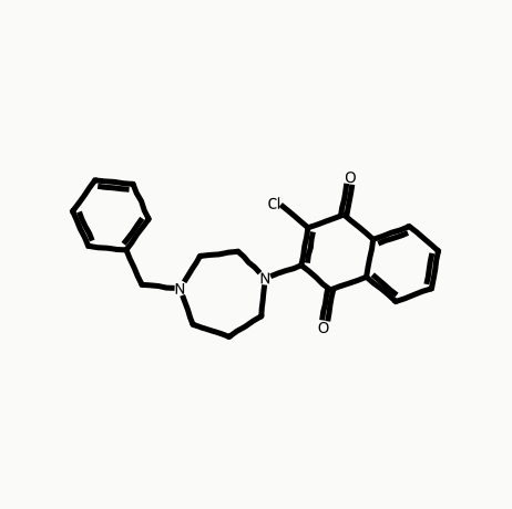 O=C1C(Cl)=C(N2CCCN(Cc3ccccc3)CC2)C(=O)c2ccccc21